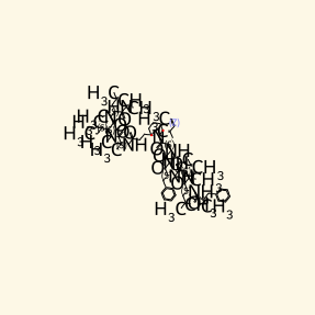 C/C=C\C(=C=CCCCC(=O)N[C@@H](C)C(=O)N(C)[C@H](C(=O)N(C)[C@@H](CC(C)C)C(=O)NC)[C@@H](C)CC)C[C@H](NC(=O)NC(=O)[C@H](Cc1ccccc1)NC(=O)[C@H](C(C)C)N(C)C(=O)[C@H](CC(C)C)NC(=O)[C@@H](C)Cc1ccccc1)C(=O)N1CCCCC1